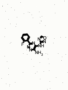 Nc1nnc(-c2ccccc2F)nc1Nc1ncon1